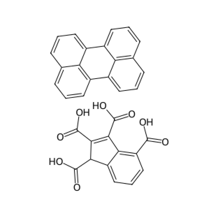 O=C(O)C1=C(C(=O)O)C(C(=O)O)c2cccc(C(=O)O)c21.c1cc2cccc3c4cccc5cccc(c(c1)c23)c54